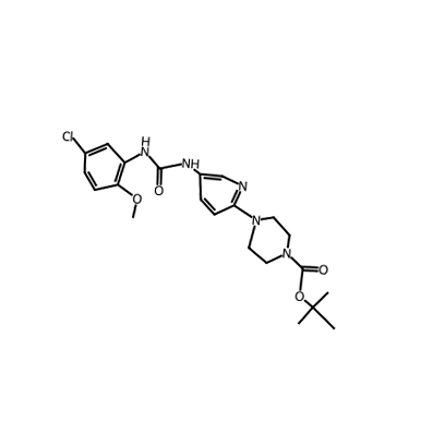 COc1ccc(Cl)cc1NC(=O)Nc1ccc(N2CCN(C(=O)OC(C)(C)C)CC2)nc1